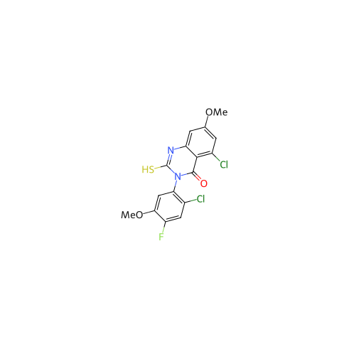 COc1cc(Cl)c2c(=O)n(-c3cc(OC)c(F)cc3Cl)c(S)nc2c1